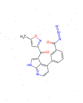 Cc1cc(C(=O)c2c[nH]c3nccc(-c4cccc(C(=O)N=[N+]=[N-])c4)c23)no1